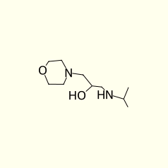 CC(C)NCC(O)CN1CCOCC1